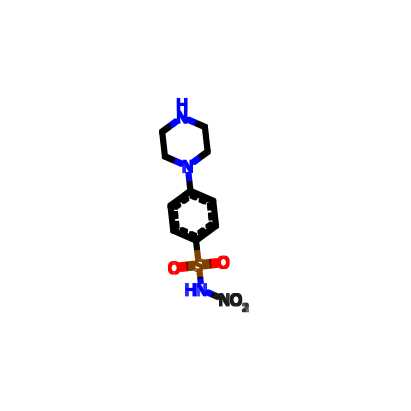 O=[N+]([O-])NS(=O)(=O)c1ccc(N2CCNCC2)cc1